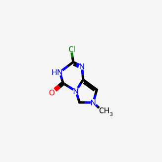 CN1C=C2N=C(Cl)NC(=O)N2C1